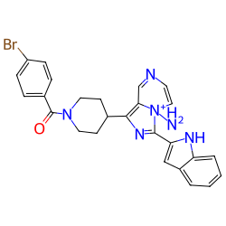 N[N+]12C=CN=CC1=C(C1CCN(C(=O)c3ccc(Br)cc3)CC1)N=C2c1cc2ccccc2[nH]1